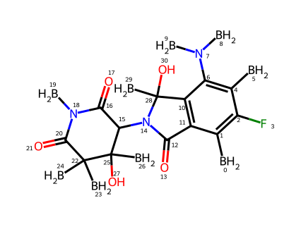 Bc1c(F)c(B)c(N(B)B)c2c1C(=O)N(C1C(=O)N(B)C(=O)C(B)(B)C1(B)O)C2(B)O